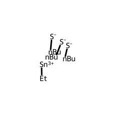 CCCC[S-].CCCC[S-].CCCC[S-].C[CH2][Sn+3]